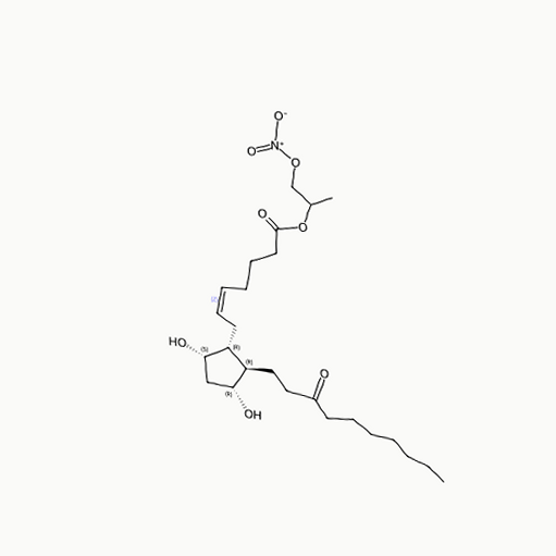 CCCCCCCC(=O)CC[C@@H]1[C@@H](C/C=C\CCCC(=O)OC(C)CO[N+](=O)[O-])[C@@H](O)C[C@H]1O